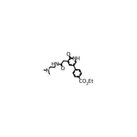 CCOC(=O)c1ccc(-c2c[nH]c(=O)c(CC(=O)NCCN(C)C)c2)cc1